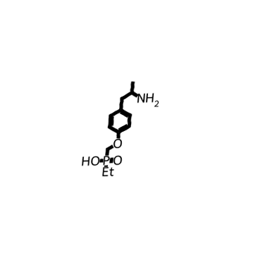 CCP(=O)(O)COc1ccc(CC(C)N)cc1